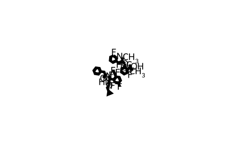 Cc1nc2c(F)cccc2cc1Oc1cccc(F)c1C(C)(C)O.O=C(Cc1ccccc1)/N=C(\NOCC1CC1)c1c(C(F)(F)F)ccc(F)c1F